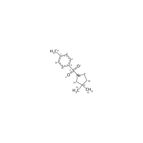 Cc1ccc(S(=O)(=O)N2CCC(C)(C)C2)cc1